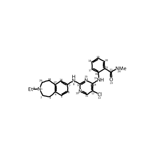 CCN1CCc2ccc(Nc3ncc(Cl)c(Nc4ccccc4C(=O)NC)n3)cc2CC1